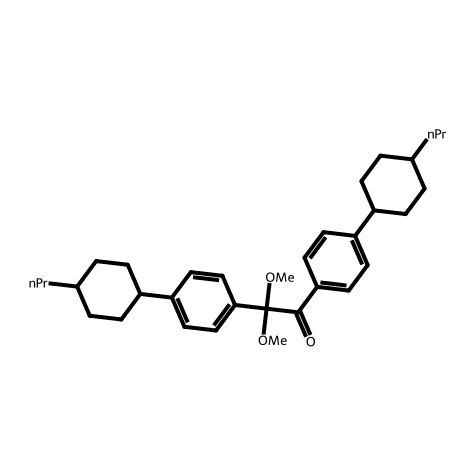 CCCC1CCC(c2ccc(C(=O)C(OC)(OC)c3ccc(C4CCC(CCC)CC4)cc3)cc2)CC1